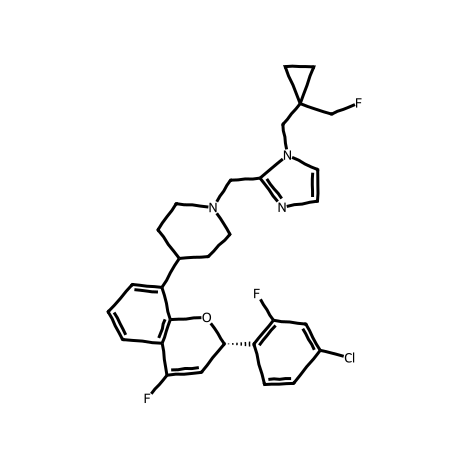 FCC1(Cn2ccnc2CN2CCC(c3cccc4c3O[C@H](c3ccc(Cl)cc3F)C=C4F)CC2)CC1